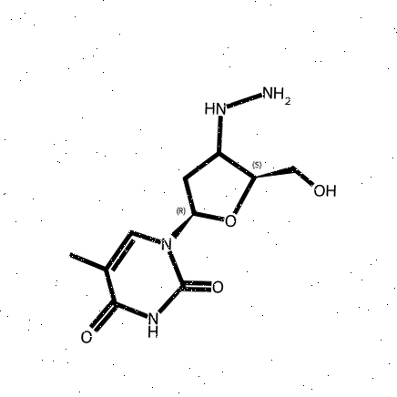 Cc1cn([C@H]2CC(NN)[C@@H](CO)O2)c(=O)[nH]c1=O